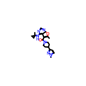 Cc1oc2ncnc(NC3(C)CC3)c2c1C(=O)N1CCC(c2ccn(C)n2)CC1